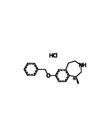 C[C@@H]1CNCCc2cc(OCc3ccccc3)ccc21.Cl